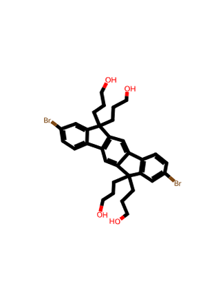 OCCCC1(CCCO)c2cc(Br)ccc2-c2cc3c(cc21)-c1ccc(Br)cc1C3(CCCO)CCCO